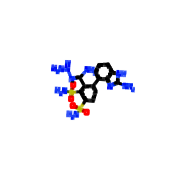 NN/N=C(\N)c1c(-c2cccc3[nH]c(N)nc23)ccc(S(N)(=O)=O)c1S(N)(=O)=O